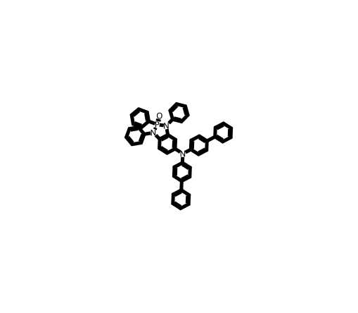 O=P1(c2ccccc2)N(c2ccccc2)c2ccc(N(c3ccc(-c4ccccc4)cc3)c3ccc(-c4ccccc4)cc3)cc2N1c1ccccc1